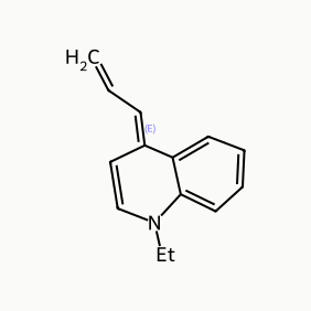 C=C/C=C1\C=CN(CC)c2ccccc21